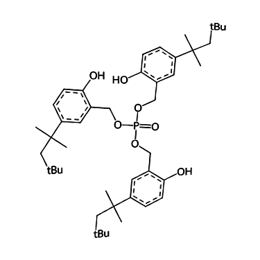 CC(C)(C)CC(C)(C)c1ccc(O)c(COP(=O)(OCc2cc(C(C)(C)CC(C)(C)C)ccc2O)OCc2cc(C(C)(C)CC(C)(C)C)ccc2O)c1